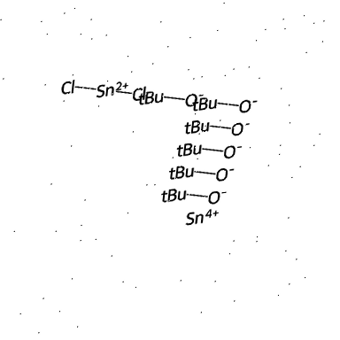 CC(C)(C)[O-].CC(C)(C)[O-].CC(C)(C)[O-].CC(C)(C)[O-].CC(C)(C)[O-].CC(C)(C)[O-].[Cl][Sn+2][Cl].[Sn+4]